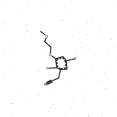 COCCOc1cc(F)cc(CC#N)c1F